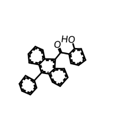 O=C(c1ccccc1O)c1c2ccccc2c(-c2ccccc2)c2ccccc12